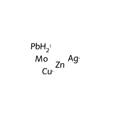 [Ag].[Cu].[Mo].[PbH2].[Zn]